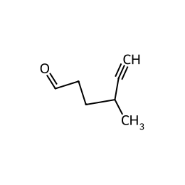 C#CC(C)CCC=O